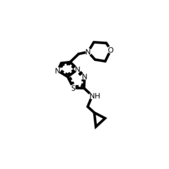 c1nc2sc(NCC3CC3)nn2c1CN1CCOCC1